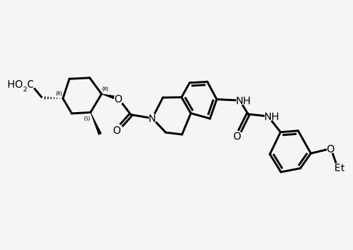 CCOc1cccc(NC(=O)Nc2ccc3c(c2)CCN(C(=O)O[C@@H]2CC[C@@H](CC(=O)O)C[C@@H]2C)C3)c1